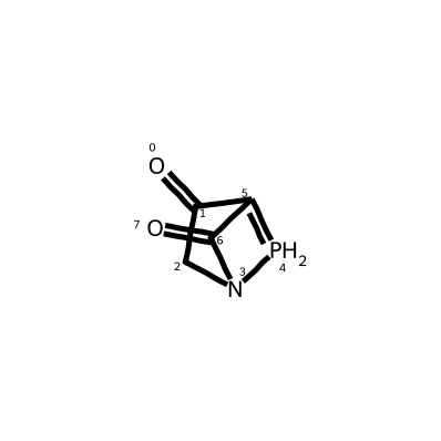 O=C1CN2[PH2]=C1C2=O